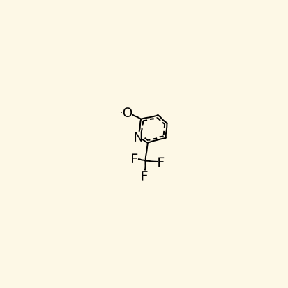 [O]c1cccc(C(F)(F)F)n1